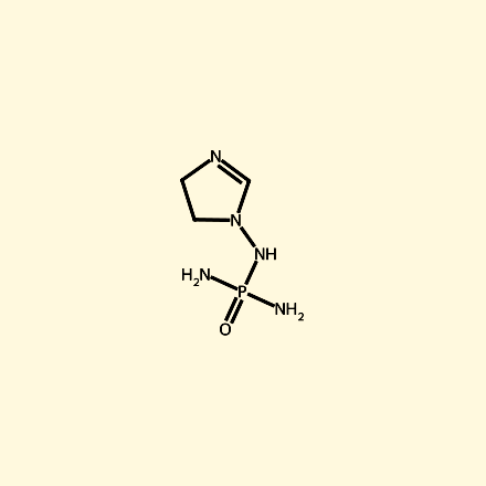 NP(N)(=O)NN1C=NCC1